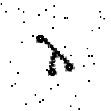 c1ccc(OCCOCCO[SiH](OCCOCCOc2ccccc2)OCCOCCOc2ccccc2)cc1